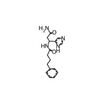 NC(=O)CC(NC(=O)CCCc1ccccc1)c1cnc[nH]1